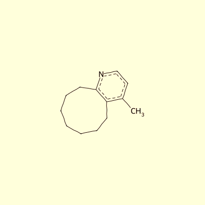 Cc1ccnc2c1CCCCCCC2